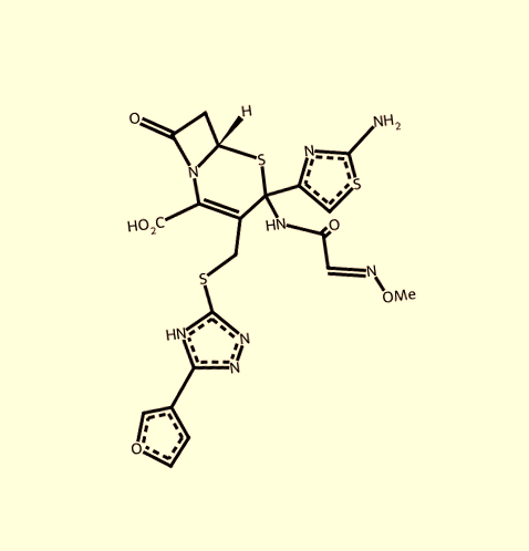 CON=CC(=O)NC1(c2csc(N)n2)S[C@H]2CC(=O)N2C(C(=O)O)=C1CSc1nnc(-c2ccoc2)[nH]1